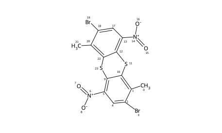 Cc1c(Br)cc([N+](=O)[O-])c2c1Sc1c([N+](=O)[O-])cc(Br)c(C)c1S2